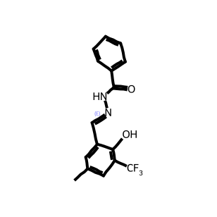 Cc1cc(/C=N/NC(=O)c2ccccc2)c(O)c(C(F)(F)F)c1